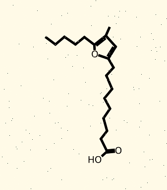 CCCCCc1oc(CCCCCCCCC(=O)O)cc1C